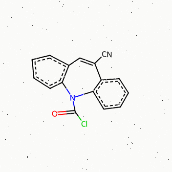 N#CC1=Cc2ccccc2N(C(=O)Cl)c2ccccc21